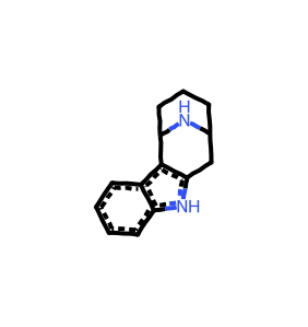 c1ccc2c3c([nH]c2c1)CC1CCCC3N1